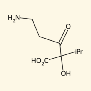 CC(C)C(O)(C(=O)O)C(=O)CCN